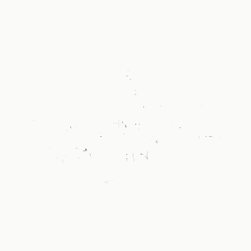 COC(=O)c1cc(N)c(NC2CCCCN(C(=O)OC(C)(C)C)C2)c(C#N)c1